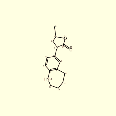 CC1CN(c2ccc3c(c2)CCCCN3)C(=O)O1